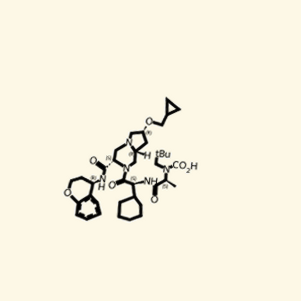 C[C@@H](C(=O)N[C@H](C(=O)N1C[C@H]2C[C@@H](OCC3CC3)CN2C[C@H]1C(=O)N[C@@H]1CCOc2ccccc21)C1CCCCC1)N(CC(C)(C)C)C(=O)O